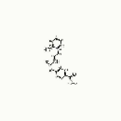 COC(=O)c1ccc(CC(C)NCCc2ccccc2O)cc1